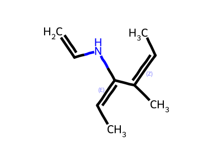 C=CNC(=C/C)/C(C)=C\C